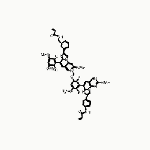 C=CC(=O)NCc1cccc(-c2cn3c(n2)c(-c2c(Cl)c(OC)cc(OC)c2Cl)cc2c[n+](COc4cc(ON)c(F)c(-c5cc6cnc(NC)nc6n6cc(-c7ccc(NC(=O)C=C)cc7)nc56)c4F)c(NC)cc23)c1